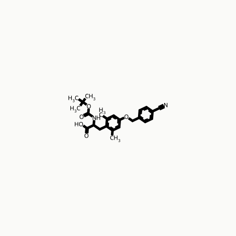 Cc1cc(OCc2ccc(C#N)cc2)cc(C)c1CC(NC(=O)OC(C)(C)C)C(=O)O